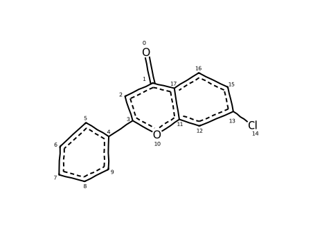 O=c1cc(-c2ccccc2)oc2cc(Cl)ccc12